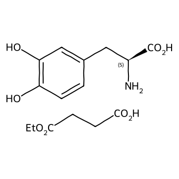 CCOC(=O)CCC(=O)O.N[C@@H](Cc1ccc(O)c(O)c1)C(=O)O